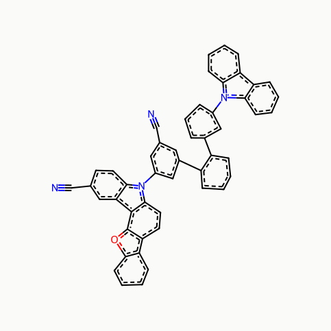 N#Cc1cc(-c2ccccc2-c2cccc(-n3c4ccccc4c4ccccc43)c2)cc(-n2c3ccc(C#N)cc3c3c4oc5ccccc5c4ccc32)c1